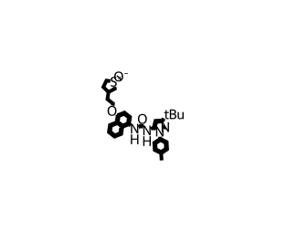 Cc1ccc(-n2nc(C(C)(C)C)cc2NC(=O)Nc2ccc(OCCC3CC[S+]([O-])C3)c3ccccc23)cc1